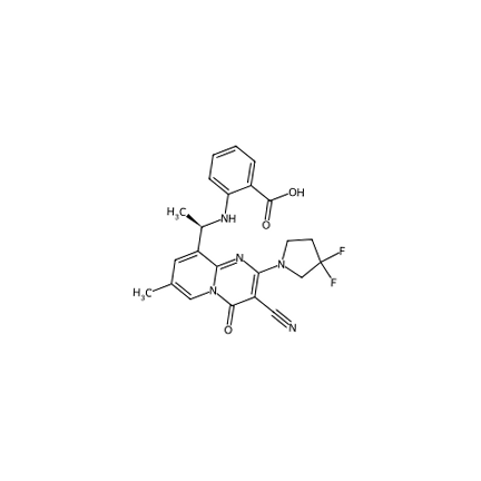 Cc1cc([C@@H](C)Nc2ccccc2C(=O)O)c2nc(N3CCC(F)(F)C3)c(C#N)c(=O)n2c1